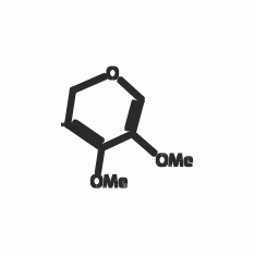 COC1=[C]COC=C1OC